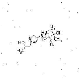 CC(O)Cn1cc(BOC(C)(C)C(C)(C)O)cn1